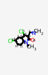 C=NCc1c(Cl)c2cc(Cl)ccc2n(C)c1=O